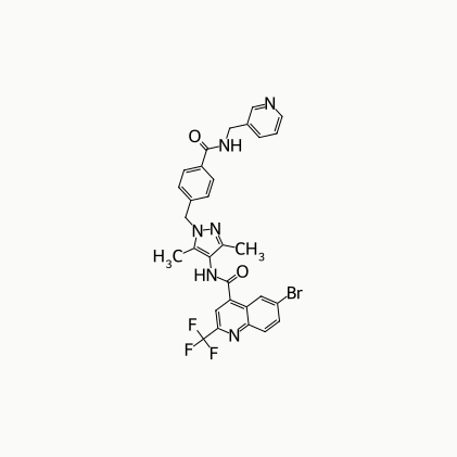 Cc1nn(Cc2ccc(C(=O)NCc3cccnc3)cc2)c(C)c1NC(=O)c1cc(C(F)(F)F)nc2ccc(Br)cc12